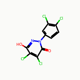 O=c1c(Cl)c(Cl)c(O)nn1-c1ccc(Cl)c(Cl)c1